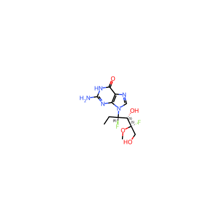 CC[C@@](F)([C@H](O)[C@@](F)(CO)OC)n1cnc2c(=O)[nH]c(N)nc21